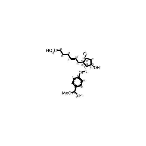 CCCC(OC)c1ccc(OC[C@@H]2[C@@H](CC=CCCCC(=O)O)[C@H](Cl)C[C@H]2O)cc1